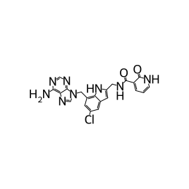 Nc1ncnc2c1ncn2Cc1cc(Cl)cc2cc(CNC(=O)c3ccc[nH]c3=O)[nH]c12